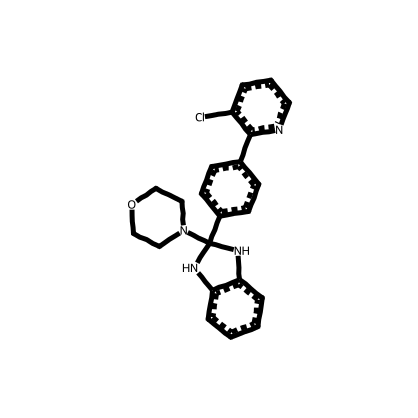 Clc1cccnc1-c1ccc(C2(N3CCOCC3)Nc3ccccc3N2)cc1